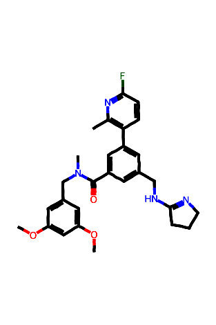 COc1cc(CN(C)C(=O)c2cc(CNC3=NCCC3)cc(-c3ccc(F)nc3C)c2)cc(OC)c1